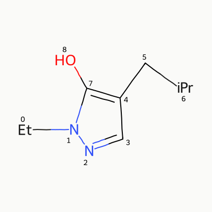 CCn1ncc(CC(C)C)c1O